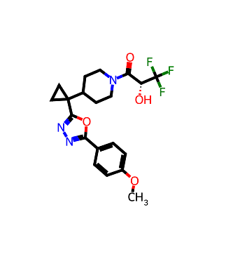 COc1ccc(-c2nnc(C3(C4CCN(C(=O)[C@@H](O)C(F)(F)F)CC4)CC3)o2)cc1